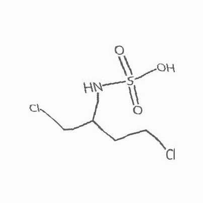 O=S(=O)(O)NC(CCl)CCCl